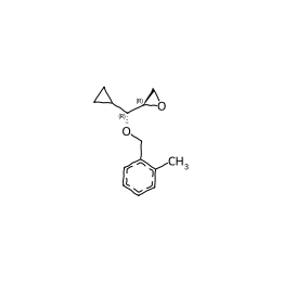 Cc1ccccc1CO[C@H](C1CC1)[C@H]1CO1